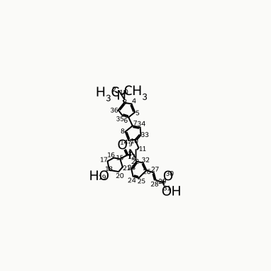 CN(C)c1ccc(-c2ccc(CN(C(=O)C3CCC(O)CC3)c3cccc(/C=C/C(=O)O)c3)cc2)cc1